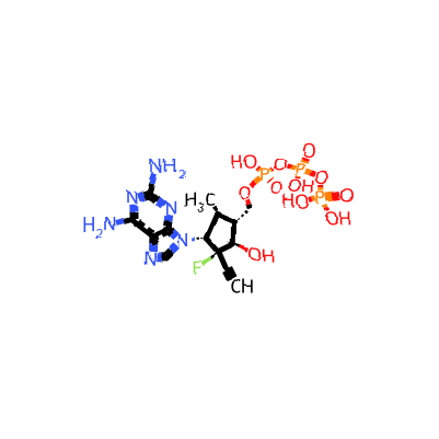 C#C[C@@]1(F)[C@H](O)[C@@H](COP(=O)(O)OP(=O)(O)OP(=O)(O)O)[C@H](C)[C@H]1n1cnc2c(N)nc(N)nc21